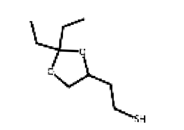 CCC1(CC)OCC(CCS)O1